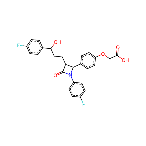 O=C(O)COc1ccc(C2C(CCC(O)c3ccc(F)cc3)C(=O)N2c2ccc(F)cc2)cc1